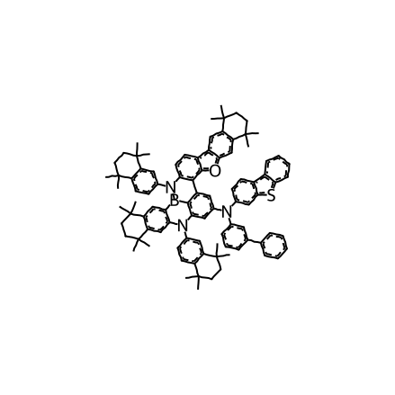 CC1(C)CCC(C)(C)c2cc(N3B4c5cc6c(cc5N(c5ccc7c(c5)C(C)(C)CCC7(C)C)c5cc(N(c7cccc(-c8ccccc8)c7)c7ccc8c(c7)sc7ccccc78)cc(c54)-c4c3ccc3c4oc4cc5c(cc43)C(C)(C)CCC5(C)C)C(C)(C)CCC6(C)C)ccc21